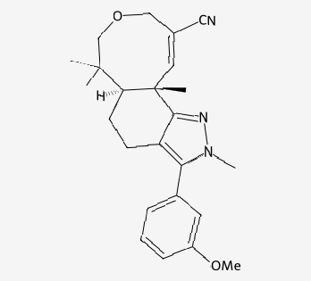 COc1cccc(-c2c3c(nn2C)[C@@]2(C)/C=C(/C#N)COCC(C)(C)[C@@H]2CC3)c1